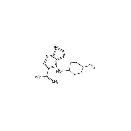 C=C(CCC)c1cnc2[nH]ccc2c1NC1CCC(C)CC1